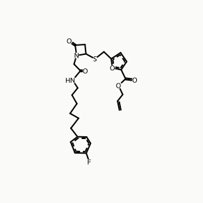 C=CCOC(=O)c1ccc(CSC2CC(=O)N2CC(=O)NCCCCCCc2ccc(F)cc2)o1